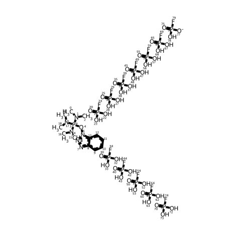 CN(C)[P+](On1nnc2ccccc21)(N(C)C)N(C)C.O=P(O)(O)F.O=P(O)(O)F.O=P(O)(O)F.O=P(O)(O)F.O=P(O)(O)F.O=P(O)(O)F.O=P(O)(O)F.O=P(O)(O)F.O=P(O)(O)F.O=P(O)(O)F.O=P(O)(O)F.O=P([O-])(O)F